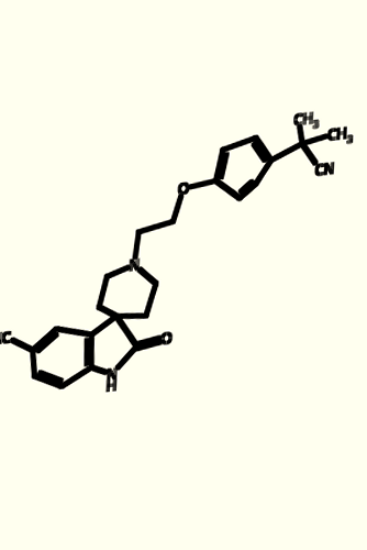 CC(C)(C#N)c1ccc(OCCN2CCC3(CC2)C(=O)Nc2ccc(C#N)cc23)cc1